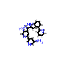 Nc1cncc(-c2cc3c(-c4cc5c(-c6ccccn6)cccc5[nH]4)n[nH]c3cn2)c1